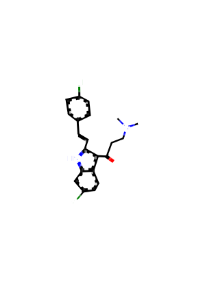 CN(C)CCC(=O)c1c(C=Cc2ccc(Cl)cc2)[nH]c2cc(Br)ccc12.Cl